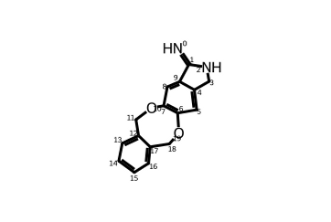 N=C1NCc2cc3c(cc21)OCc1ccccc1CO3